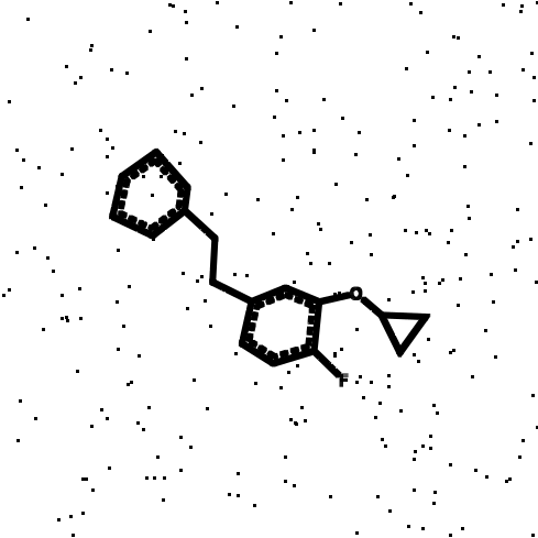 Fc1ccc(CCc2ccccc2)cc1OC1CC1